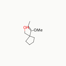 CC=C(OC)C1(CO)CCCC1